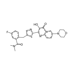 CN(C)C(=O)c1cc(F)ccc1Cc1cnc(-c2nc3ccc(N4CCOCC4)cn3c(=O)c2O)s1